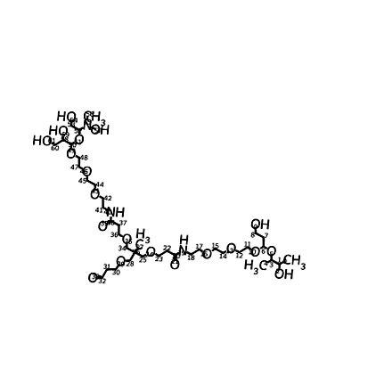 CC(O)C(C)OC(CCO)OCCOCCOCCNC(=O)CCOCC(C)(COCCC=O)COCCC(=O)NCCOCCOCCOC(OC(CO)N(C)O)C(O)CO